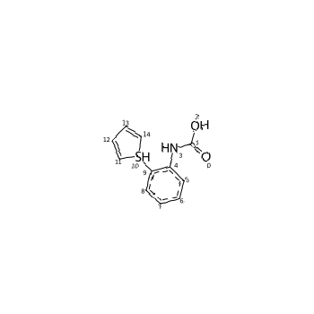 O=C(O)Nc1ccccc1[SH]1C=CC=C1